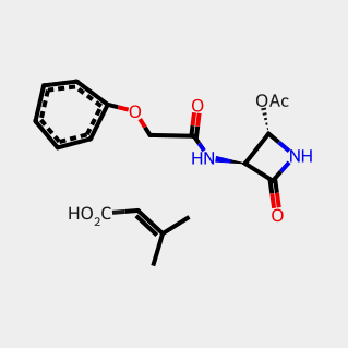 CC(=O)O[C@@H]1NC(=O)[C@H]1NC(=O)COc1ccccc1.CC(C)=CC(=O)O